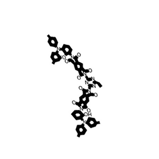 C=Cc1nc(-n2c(=O)c3cc4c(=O)n(-c5cccc(N(c6ccc(C)cc6)c6ccc(C)cc6)c5O)c(=O)c4cc3c2=O)nc(-n2c(=O)c3cc4c(=O)n(-c5cccc(N(c6ccc(C)cc6)c6ccc(C)cc6)c5O)c(=O)c4cc3c2=O)n1